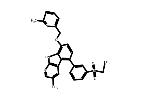 CCS(=O)(=O)c1cccc(-c2ccc(OCc3cccc(C)n3)c3[nH]c4ncc(C)cc4c23)c1